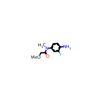 COCC(=O)N(C)c1ccc(N)c(F)c1